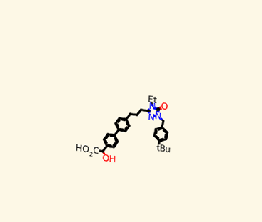 CCn1c(CCCc2ccc(-c3ccc(C(O)C(=O)O)cc3)cc2)nn(Cc2ccc(C(C)(C)C)cc2)c1=O